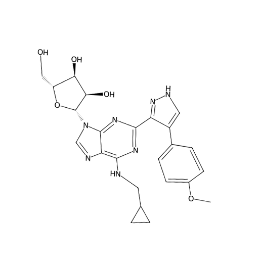 COc1ccc(-c2c[nH]nc2-c2nc(NCC3CC3)c3ncn([C@@H]4O[C@H](CO)[C@@H](O)[C@H]4O)c3n2)cc1